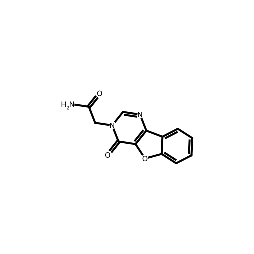 NC(=O)Cn1cnc2c(oc3ccccc32)c1=O